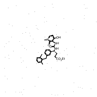 CCOC(=O)CC[C@H](NC(=O)Nc1c(O)ccn(C)c1=O)c1cccc(Cc2c(C)cccc2C)c1